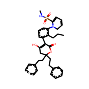 CCCc1c(C2=C(O)CC(CCc3ccccc3)(CCc3ccccc3)OC2=O)cccc1N1CC=CC=C1S(=O)(=O)NC